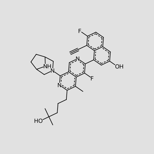 C#Cc1c(F)ccc2cc(O)cc(-c3ncc4c(N5CC6CCC(C5)N6)nc(CCCC(C)(C)O)c(C)c4c3F)c12